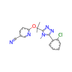 Cn1c(-c2ccccc2Cl)nnc1C(C)(C)Oc1ccc(C#N)cn1